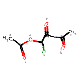 CC(=O)OC(Cl)C(=O)C(C)=O